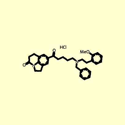 COc1ccccc1CCN(CCCCC(=O)c1cc2c3c(c1)CCN3C(=O)CC2)Cc1ccccc1.Cl